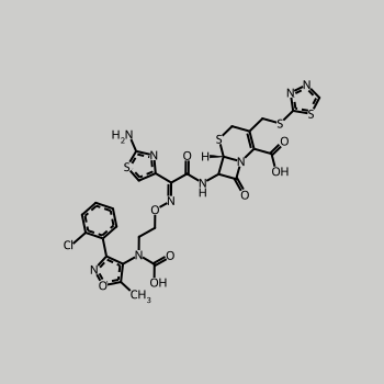 Cc1onc(-c2ccccc2Cl)c1N(CCON=C(C(=O)NC1C(=O)N2C(C(=O)O)=C(CSc3nncs3)CS[C@@H]12)c1csc(N)n1)C(=O)O